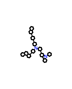 c1ccc(-n2c3ccccc3c3ccc(-c4cccc(N(c5ccc(-c6ccc(-c7ccc8ccccc8c7)cc6)cc5)c5ccc(-c6cccc7c6ccc6ccccc67)cc5)c4)cc32)cc1